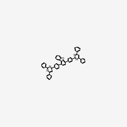 c1ccc(-c2cc(-c3ccc(-c4ccc(-c5ccc(-c6nc(-c7ccccc7)cc(-c7ccccc7)n6)cc5)c5oc6ccccc6c45)cc3)nc(-c3ccccc3)n2)cc1